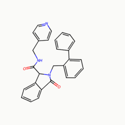 O=C(NCc1ccncc1)C1c2ccccc2C(=O)N1Cc1ccccc1-c1ccccc1